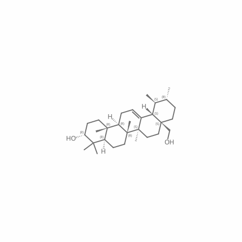 C[C@H]1[C@H](C)CC[C@]2(CO)CC[C@]3(C)C(=CC[C@@H]4[C@@]5(C)CC[C@@H](O)C(C)(C)[C@@H]5CC[C@]43C)[C@H]12